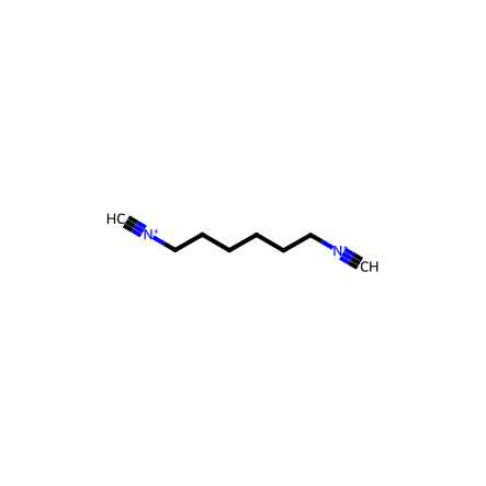 C#[N+]CCCCCC[N+]#C